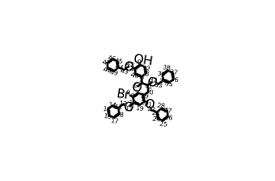 Oc1ccc(C2Oc3c(Br)c(OCc4ccccc4)cc(OCc4ccccc4)c3CC2OCc2ccccc2)cc1OCc1ccccc1